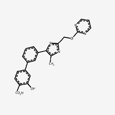 Cc1nc(COc2ncccn2)sc1-c1cccc(-c2ccc(C(=O)O)c(O)c2)c1